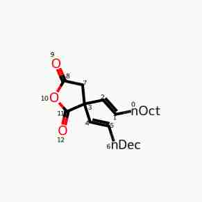 CCCCCCCCC=CC1(C=CCCCCCCCCCC)CC(=O)OC1=O